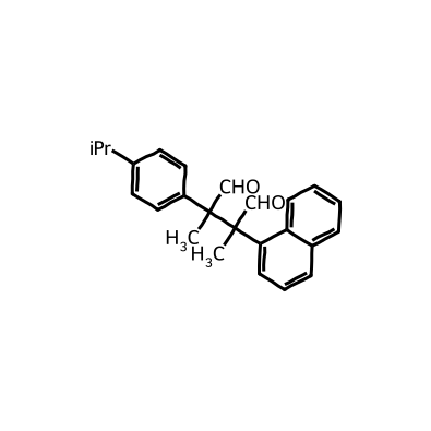 CC(C)c1ccc(C(C)(C=O)C(C)(C=O)c2cccc3ccccc23)cc1